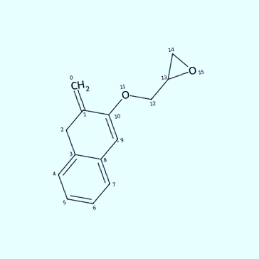 C=C1Cc2ccccc2[C]=C1OCC1CO1